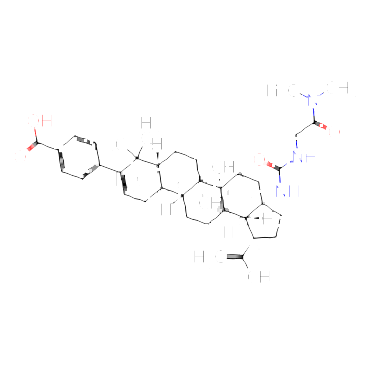 C=C(C)[C@@H]1CC[C@]2(NC(=O)NCC(=O)N(C)C)CC[C@]3(C)[C@H](CC[C@@H]4[C@@]5(C)CC=C(c6ccc(C(=O)O)cc6)C(C)(C)[C@@H]5CC[C@]43C)[C@@H]12